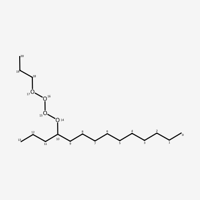 CCCCCCCCCCC(CCC)OOOOCCC